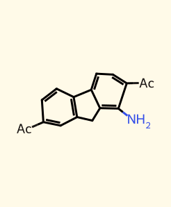 CC(=O)c1ccc2c(c1)Cc1c-2ccc(C(C)=O)c1N